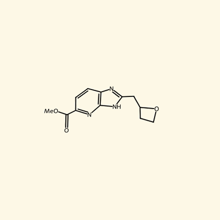 COC(=O)c1ccc2nc(CC3CCO3)[nH]c2n1